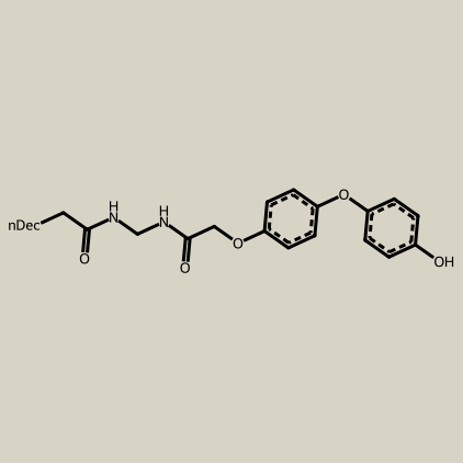 CCCCCCCCCCCC(=O)NCNC(=O)COc1ccc(Oc2ccc(O)cc2)cc1